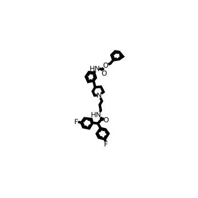 O=C(Nc1cccc(C2CCN(CCCNC(=O)C(c3ccc(F)cc3)c3ccc(F)cc3)CC2)c1)OCc1ccccc1